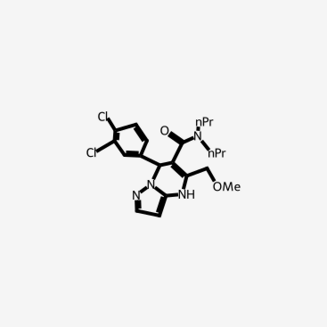 CCCN(CCC)C(=O)C1=C(COC)Nc2ccnn2C1c1ccc(Cl)c(Cl)c1